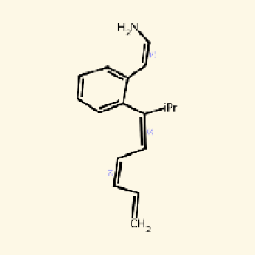 C=C/C=C\C=C(/c1ccccc1/C=C\N)C(C)C